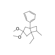 CCC12CC(OC)(OC)CC1(c1ccccc1)CC2C